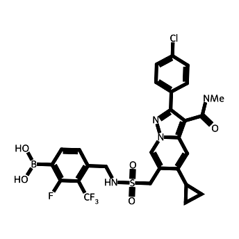 CNC(=O)c1c(-c2ccc(Cl)cc2)nn2cc(CS(=O)(=O)NCc3ccc(B(O)O)c(F)c3C(F)(F)F)c(C3CC3)cc12